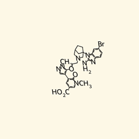 Cn1ncc(-c2cc(C(=O)O)cn(C)c2=O)c1OCCN1CC2CCC(n3c(N)nc4ccc(Br)cc43)(C2)C1